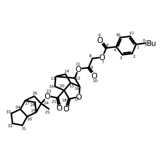 CCC(C)c1ccc(C(=O)OCC(=O)OC2C3CC4C2OC(=O)C4(C(=O)OC2(C)CC4CC2C2CCCC42)C3)cc1